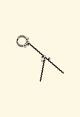 CCCCCCCC/C=C/CCCCCCCC(=O)CCC(COC(=O)CCCCCCC/C=C/CCCCCCCC)OC(=O)CCCCCCC/C=C/CCCCCCC(=O)OC1COC(=O)CCCCCCC/C=C\CCCCCCCC(=O)O1